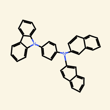 c1ccc2cc(N(c3ccc(-n4c5ccccc5c5ccccc54)cc3)c3ccc4ccccc4c3)ccc2c1